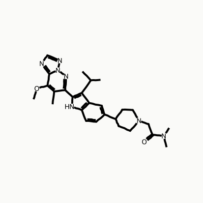 COc1c(C)c(-c2[nH]c3ccc(C4CCN(CC(=O)N(C)C)CC4)cc3c2C(C)C)nn2ncnc12